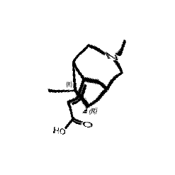 C[C@H]1C2CN(C)CC(C2=CC(=O)O)[C@@H]1C